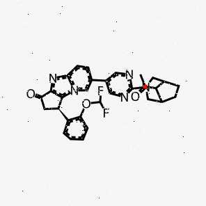 CC(=O)C1C2CCC1CN(c1ncc(-c3ccc4nc5c(n4c3)[C@@H](c3ccccc3OC(F)F)CC5=O)cn1)C2